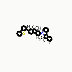 CC1(C)c2cc(-c3cccc4c3sc3ccccc34)ccc2-c2ccc(-n3c4c(c5ccccc53)-c3ccccc3C4(C)C)cc21